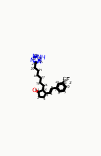 O=C1CCC(/C=C/c2cccc(C(F)(F)F)c2)C1CCCCCCc1nn[nH]n1